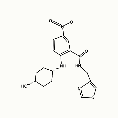 O=C(NCc1cscn1)c1cc([N+](=O)[O-])ccc1N[C@H]1CC[C@@H](O)CC1